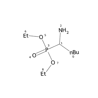 CCCCC(N)P(=O)(OCC)OCC